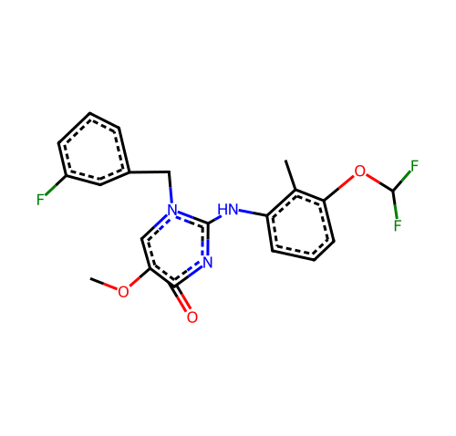 COc1cn(Cc2cccc(F)c2)c(Nc2cccc(OC(F)F)c2C)nc1=O